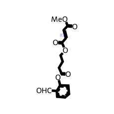 COC(=O)/C=C/C(=O)OCCCC(=O)Oc1ccccc1C=O